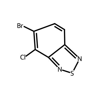 Clc1c(Br)ccc2nsnc12